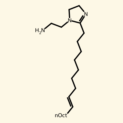 CCCCCCCCC=CCCCCCCCC1=NCCN1CCN